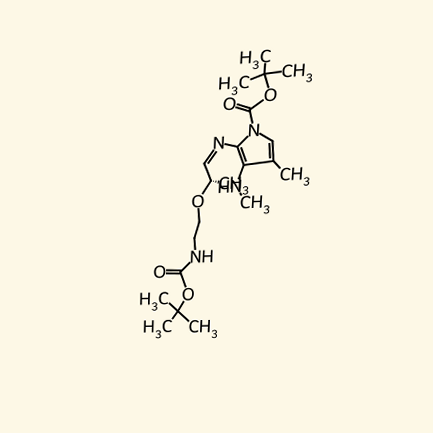 CNc1c(C)cn(C(=O)OC(C)(C)C)c1/N=C\[C@H](C)OCCNC(=O)OC(C)(C)C